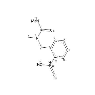 CNC(=S)N(C)Cc1ccccc1[PH](=O)O